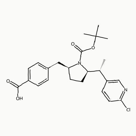 C[C@H](c1ccc(Cl)nc1)[C@H]1CC[C@@H](Cc2ccc(C(=O)O)cc2)N1C(=O)OC(C)(C)C